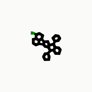 Brc1ccc2c3c(cccc13)-c1cc3c(-c4ccccc4)c4ccccc4c(-c4ccccc4)c3cc1-2